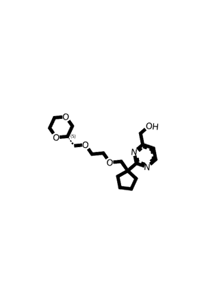 OCc1ccnc(C2(COCCOC[C@H]3COCCO3)CCCC2)n1